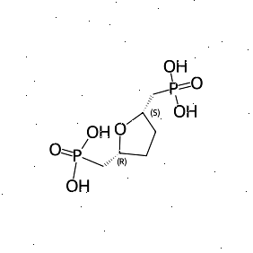 O=P(O)(O)C[C@H]1CC[C@@H](CP(=O)(O)O)O1